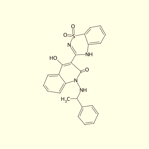 CC(Nn1c(=O)c(C2=NS(=O)(=O)c3ccccc3N2)c(O)c2ccccc21)c1ccccc1